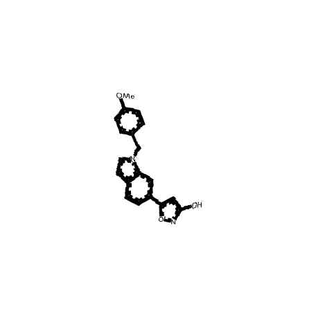 COc1ccc(Cn2ccc3ccc(-c4cc(O)no4)cc32)cc1